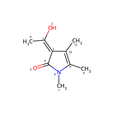 CC(O)=C1C(=O)N(C)C(C)=C1C